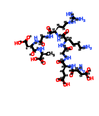 C[C@H](NC(=O)[C@H](CC(=O)O)NC(=O)CNC(=O)[C@H](CCCNC(=N)N)NC(=O)[C@H](CCCCN)NC(=O)CNC(=O)[C@H](CCC(=O)O)NC(=O)[C@@H](N)CC(=O)O)C(=O)O